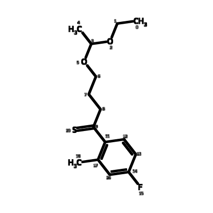 CCOC(C)OCCCC(=S)c1ccc(F)cc1C